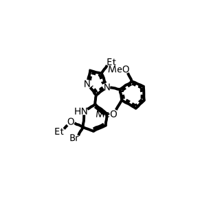 CCOC1(Br)C=CC=C(c2ncc(CC)n2-c2c(OC)cccc2OC)N1